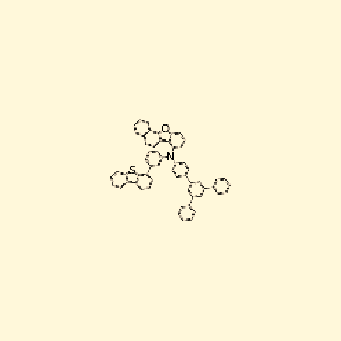 c1ccc(-c2cc(-c3ccccc3)cc(-c3ccc(N(c4cccc(-c5cccc6c5sc5ccccc56)c4)c4cccc5oc6c7ccccc7ccc6c45)cc3)c2)cc1